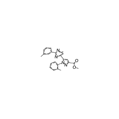 COC(=O)c1cc(-c2nc(-c3cccc(C)c3)ns2)n(-c2ccccc2C)n1